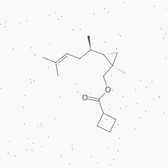 CC(C)=CC[C@@H](C)[C@@H]1C[C@@]1(C)COC(=O)C1CCC1